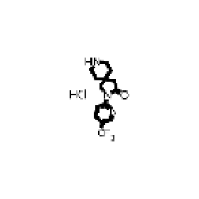 Cl.O=C1CC2(CCNCC2)CN1c1ccc(C(F)(F)F)cn1